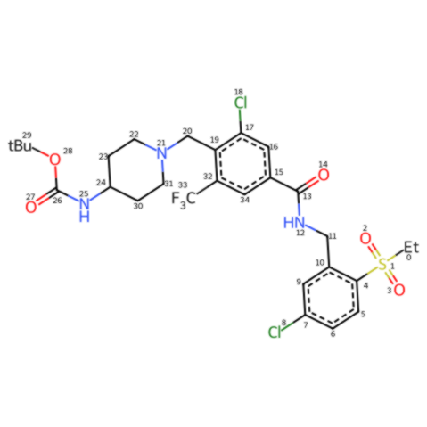 CCS(=O)(=O)c1ccc(Cl)cc1CNC(=O)c1cc(Cl)c(CN2CCC(NC(=O)OC(C)(C)C)CC2)c(C(F)(F)F)c1